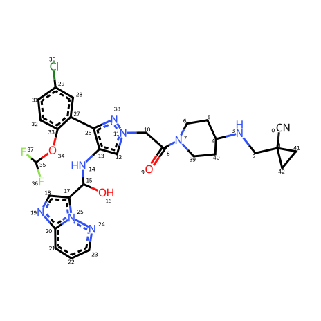 N#CC1(CNC2CCN(C(=O)Cn3cc(NC(O)c4cnc5cccnn45)c(-c4cc(Cl)ccc4OC(F)F)n3)CC2)CC1